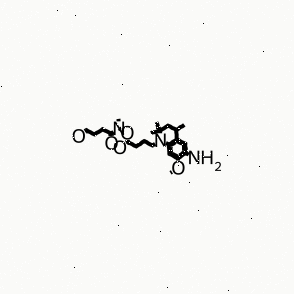 COc1cc2c(cc1N)C(C)CC(C)(C)N2CCCC(=O)ON(C)C(=O)CCC=O